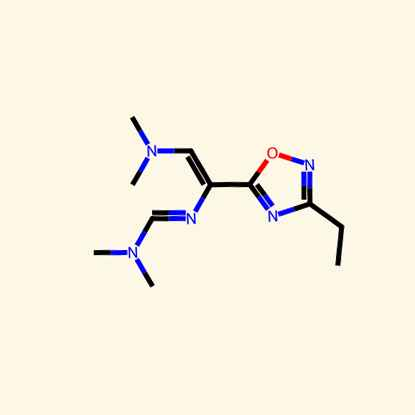 CCc1noc(C(=CN(C)C)N=CN(C)C)n1